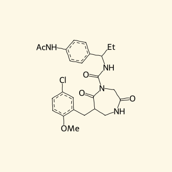 CCC(NC(=O)N1CC(=O)NCC(Cc2cc(Cl)ccc2OC)C1=O)c1ccc(NC(C)=O)cc1